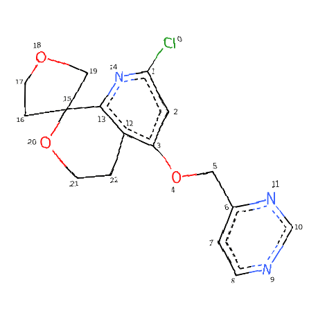 Clc1cc(OCc2ccncn2)c2c(n1)C1(CCOC1)OCC2